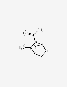 C=C(C)C1C2CCC(C2)C1C